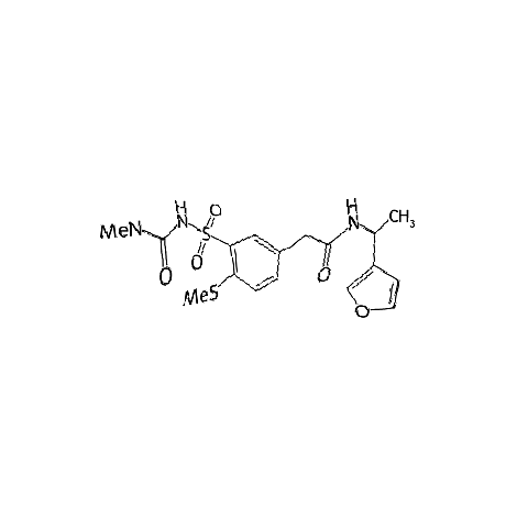 CNC(=O)NS(=O)(=O)c1cc(CC(=O)NC(C)c2ccoc2)ccc1SC